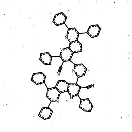 N#Cc1c(-c2ccccc2)nc2c(ccc3c(-c4ccccc4)cc(-c4ccccc4)nc32)c1-c1cccc(-c2c(C#N)c(-c3ccccc3)nc3c2ccc2c(-c4ccccc4)cc(-c4ccccc4)nc23)n1